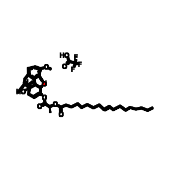 CCCCCCCCC=CCCCCCCCC(=O)O[C@@H](C)C(=O)OC1=CC[C@]2(O)C3Cc4ccc(OC)c5c4[C@@]2(CCN3C)[C@H]1O5.O=C(O)C(F)(F)F